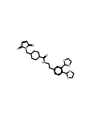 O=C(NCCc1ccc(C2OCCO2)c(C2OCCO2)c1)C1CCC(CN2C(=O)C=CC2=O)CC1